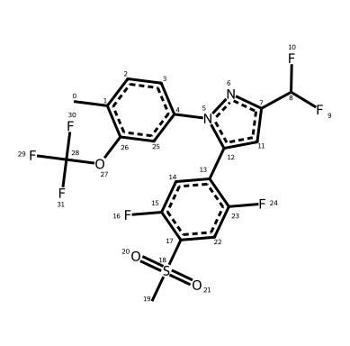 Cc1ccc(-n2nc(C(F)F)cc2-c2cc(F)c(S(C)(=O)=O)cc2F)cc1OC(F)(F)F